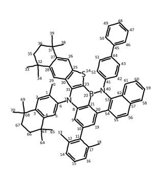 Cc1cc2c(cc1N1c3cc(-c4c(C)cccc4C)cc4c3B(c3sc5cc6c(cc5c31)C(C)(C)CCC6(C)C)N(c1ccc(-c3ccccc3)cc1)c1c-4ccc3ccccc13)C(C)(C)CCC2(C)C